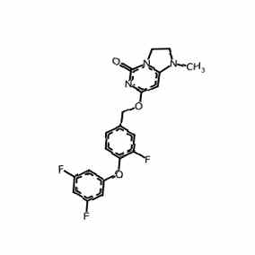 CN1CCn2c1cc(OCc1ccc(Oc3cc(F)cc(F)c3)c(F)c1)nc2=O